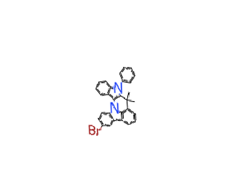 CC1(C)c2cccc3c4cc(Br)ccc4n(c23)-c2c1n(-c1ccccc1)c1ccccc21